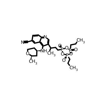 CCCP1(=O)OP(=O)(CCC)OP(=O)(CCC(C)c2cnc3ccc(C#N)cc3c2N[C@@H]2CCO[C@H](C)C2)O1